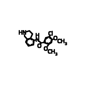 COc1cc(OC)c(C(=O)Nc2cccc3c2CCNC3)cc1Cl